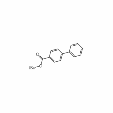 CC(C)(C)OC(=O)c1ccc(-c2cc[c]cc2)cc1